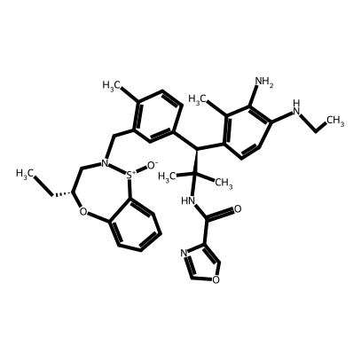 CCNc1ccc([C@H](c2ccc(C)c(CN3C[C@@H](CC)Oc4ccccc4[S+]3[O-])c2)C(C)(C)NC(=O)c2cocn2)c(C)c1N